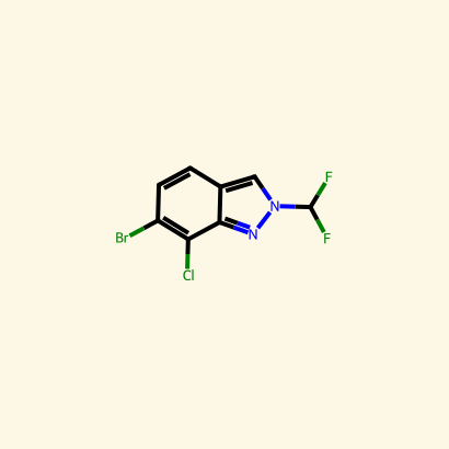 FC(F)n1cc2ccc(Br)c(Cl)c2n1